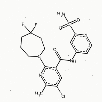 Cc1nc(N2CCCC(F)(F)CC2)c(C(=O)Nc2ccnc(S(N)(=O)=O)c2)cc1Cl